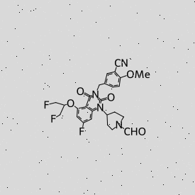 COc1ccc(Cn2c(=O)c3c(OC(CF)CF)cc(F)cc3n(C3CCN(C=O)CC3)c2=O)cc1C#N